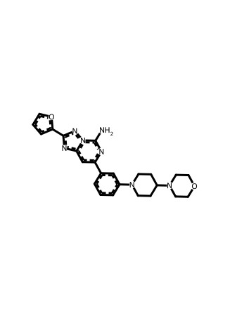 Nc1nc(-c2cccc(N3CCC(N4CCOCC4)CC3)c2)cc2nc(-c3ccco3)nn12